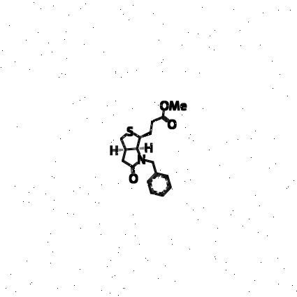 COC(=O)CC[C@@H]1SC[C@@H]2CC(=O)N(Cc3ccccc3)[C@@H]21